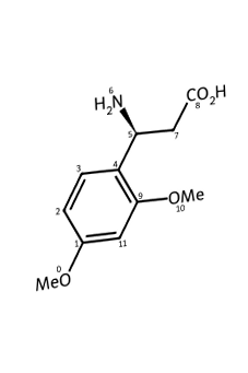 COc1ccc([C@@H](N)CC(=O)O)c(OC)c1